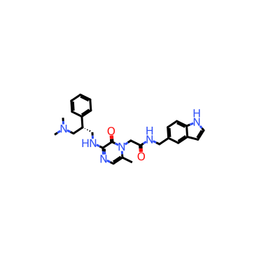 Cc1cnc(NC[C@H](CN(C)C)c2ccccc2)c(=O)n1CC(=O)NCc1ccc2[nH]ccc2c1